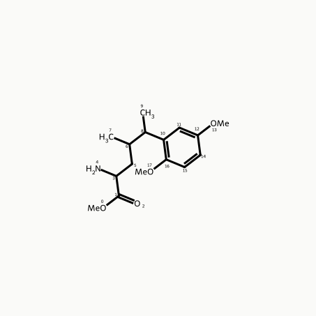 COC(=O)C(N)CC(C)C(C)c1cc(OC)ccc1OC